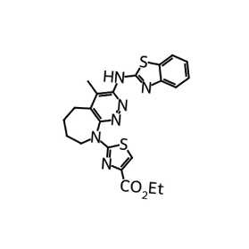 CCOC(=O)c1csc(N2CCCCc3c2nnc(Nc2nc4ccccc4s2)c3C)n1